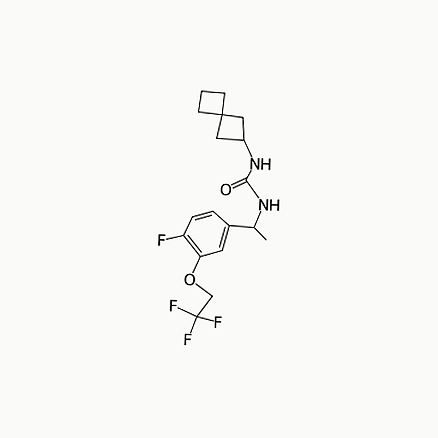 CC(NC(=O)NC1CC2(CCC2)C1)c1ccc(F)c(OCC(F)(F)F)c1